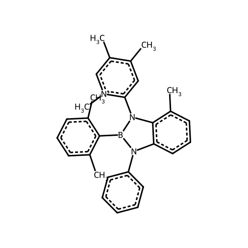 Cc1cc(N2B(c3c(C)cccc3C)N(c3ccccc3)c3cccc(C)c32)[n+](C)cc1C